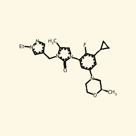 CCn1cc(Cn2c(C)cn(-c3cc(N4CCO[C@H](C)C4)cc(C4CC4)c3F)c2=O)cn1